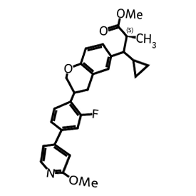 COC(=O)[C@@H](C)C(c1ccc2c(c1)CC(c1ccc(-c3ccnc(OC)c3)cc1F)CO2)C1CC1